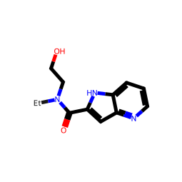 CCN(CCO)C(=O)c1cc2ncccc2[nH]1